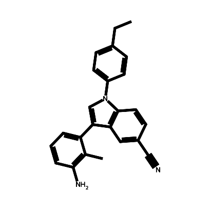 CCc1ccc(-n2cc(-c3cccc(N)c3C)c3cc(C#N)ccc32)cc1